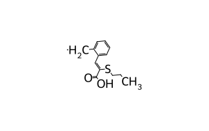 [CH2]c1ccccc1C=C(SCCC)C(=O)O